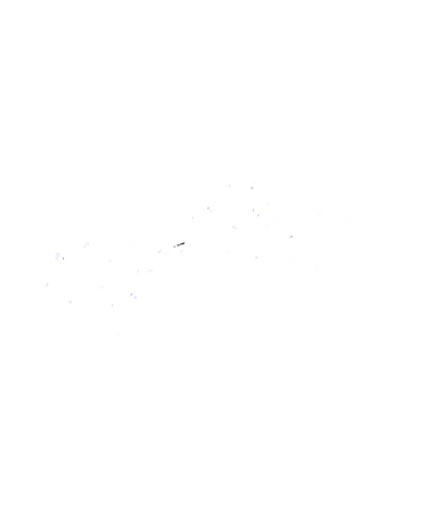 CC(N[C@@H]1C[C@H]1c1ccc2c(c1)CCN2S(=O)(=O)c1ccccc1)C1CCNCC1